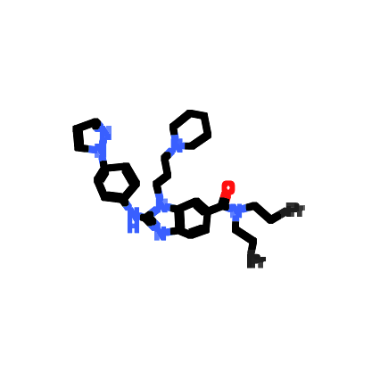 CC(C)CCN(CCC(C)C)C(=O)c1ccc2nc(Nc3ccc(-n4cccn4)cc3)n(CCCN3CCCCC3)c2c1